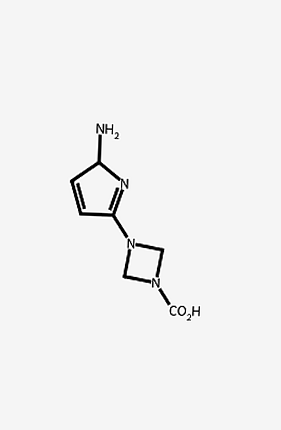 NC1C=CC(N2CN(C(=O)O)C2)=N1